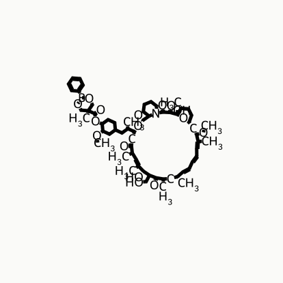 COC1CC2CCC(C)C(O)(O2)C(=O)C(=O)N2CCCCC2C(=O)OC(C(C)CC2CCC(OC(=O)C3(C)COB(c4ccccc4)OC3)C(OC)C2)CC(=O)C(C)/C=C(\C)C(O)C(CO)C(=O)C(C)CC(C)/C=C/C=C/C=C/1C